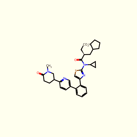 CN1CC(c2ccc(-c3ccccc3-c3csc(N(C(=O)[C@@H](CC(=O)O)CC4CCCC4)C4CC4)n3)cn2)CCC1=O